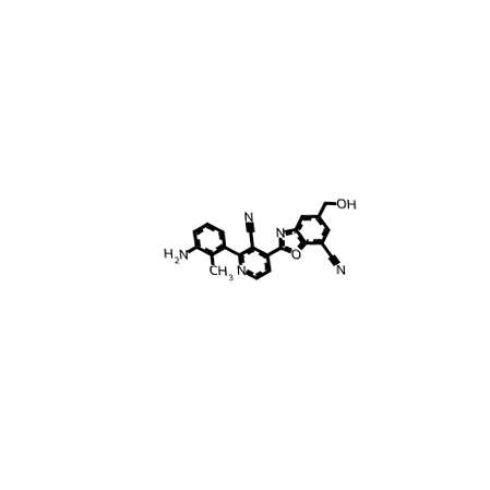 Cc1c(N)cccc1-c1nccc(-c2nc3cc(CO)cc(C#N)c3o2)c1C#N